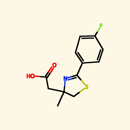 CC1(CC(=O)O)CSC(c2ccc(F)cc2)=N1